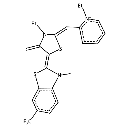 C=C1/C(=C2\Sc3cc(C(F)(F)F)ccc3N2C)S/C(=C\c2cccc[n+]2CC)N1CC